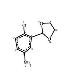 Nc1ccc(Cl)c(C2OCCO2)c1